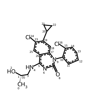 C[C@H](O)CNc1nc(=O)n(-c2ccccc2Cl)c2cc(C3CC3)c(Cl)cc12